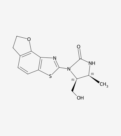 C[C@@H]1NC(=O)N(c2nc3c4c(ccc3s2)CCO4)[C@@H]1CO